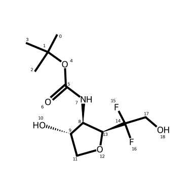 CC(C)(C)OC(=O)N[C@@H]1[C@@H](O)CO[C@@H]1C(F)(F)CO